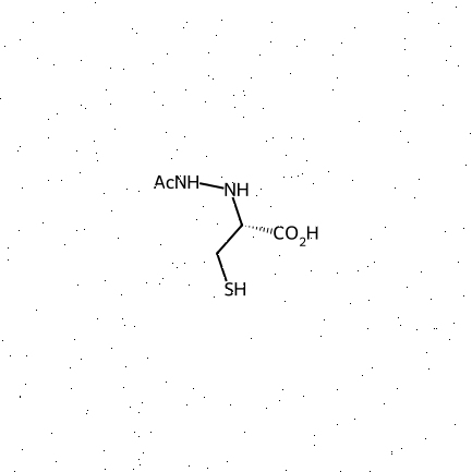 CC(=O)NN[C@@H](CS)C(=O)O